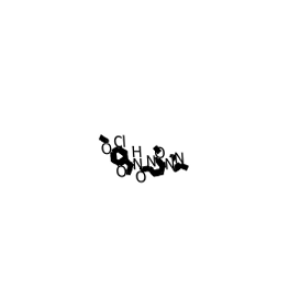 CCOc1cc2c(cc1Cl)[C@H](NC(=O)c1ccc(-n3cnc(C)c3)c(OC)n1)CO2